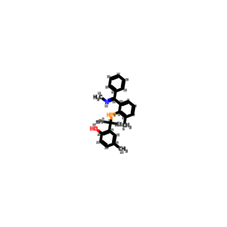 CCCC(CC)(Pc1c(C)cccc1/C(=N/C)c1ccccc1)c1cc(C)ccc1O